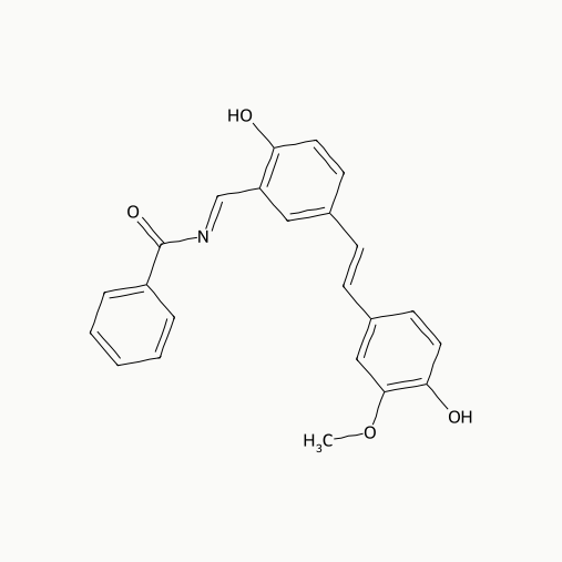 COc1cc(C=Cc2ccc(O)c(C=NC(=O)c3ccccc3)c2)ccc1O